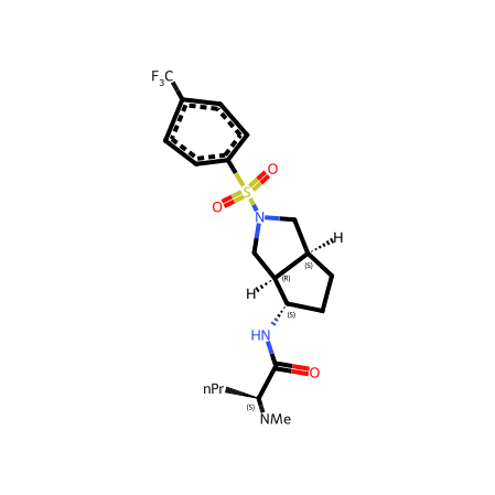 CCC[C@H](NC)C(=O)N[C@H]1CC[C@@H]2CN(S(=O)(=O)c3ccc(C(F)(F)F)cc3)C[C@@H]21